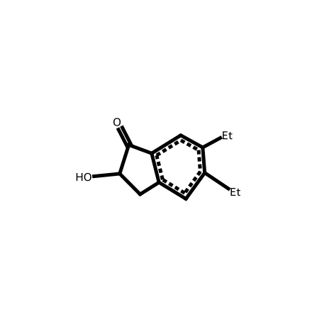 CCc1cc2c(cc1CC)C(=O)C(O)C2